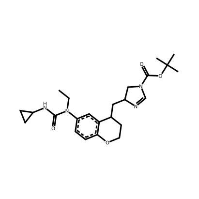 CCN(C(=O)NC1CC1)c1ccc2c(c1)C(CC1CN(C(=O)OC(C)(C)C)C=N1)CCO2